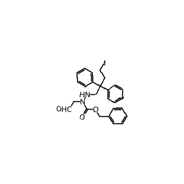 O=CCN(NCC(CCI)(c1ccccc1)c1ccccc1)C(=O)OCc1ccccc1